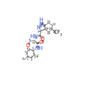 Cc1cc(F)c2c(c1)OC[C@H](NC(=O)c1n[nH]c3c1C[C@H](C(F)(F)F)CC3)C(=O)N2